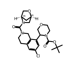 CC(C)(C)OC(=O)N1CCOCC1c1cc(Cl)cc2c1CN(C(=O)N1C[C@H]3C[C@@H]1CO3)CC2